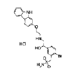 Cl.NS(=O)(=O)Cc1cc(C(O)CNCCOc2ccc3c(c2)[nH]c2ccccc23)ccc1Br